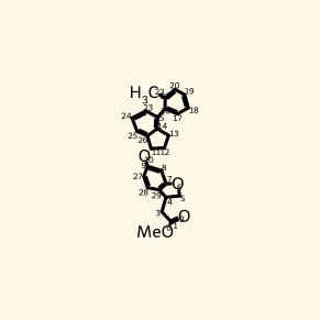 COC(=O)CC1COc2cc(O[C@@H]3CCc4c(-c5ccccc5C)cccc43)ccc21